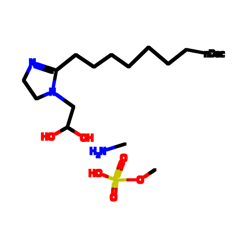 CCCCCCCCCCCCCCCCCC1=NCCN1CC(O)O.CN.COS(=O)(=O)O